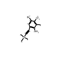 Cc1c(N)c(C#C[Si](C)(C)C)cc(Br)c1C(F)(F)F